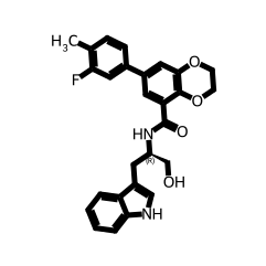 Cc1ccc(-c2cc3c(c(C(=O)N[C@@H](CO)Cc4c[nH]c5ccccc45)c2)OCCO3)cc1F